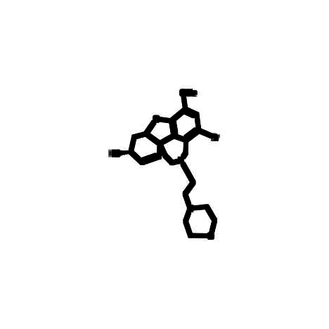 COc1cc(Br)c2c3c1OC1C[C@@H](O)C=CC31CCN(CCN1CCOCC1)C2